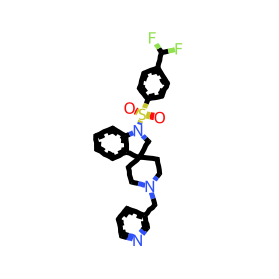 O=S(=O)(c1ccc(C(F)F)cc1)N1CC2(CCN(Cc3cccnc3)CC2)c2ccccc21